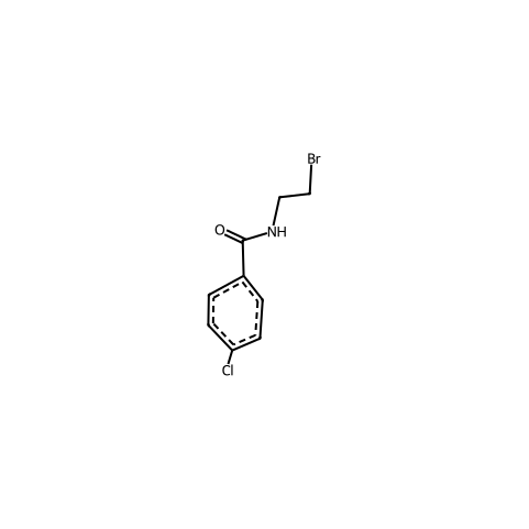 O=C(NCCBr)c1ccc(Cl)cc1